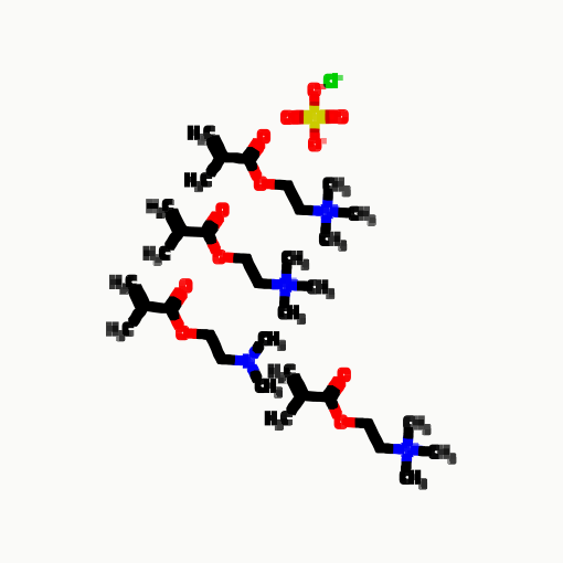 C=C(C)C(=O)OCCN(C)C.C=C(C)C(=O)OCC[N+](C)(C)C.C=C(C)C(=O)OCC[N+](C)(C)C.C=C(C)C(=O)OCC[N+](C)(C)C.O=S(=O)([O-])[O-].[Cl-]